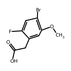 COc1cc(CC(=O)O)c(F)cc1Br